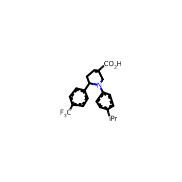 CC(C)c1ccc(N2CC(C(=O)O)=CCC2c2ccc(C(F)(F)F)cc2)cc1